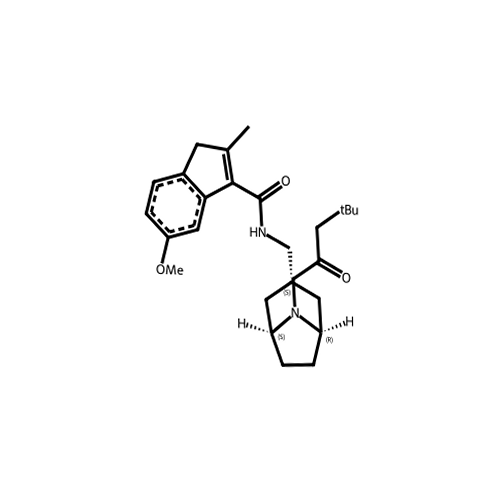 COc1ccc2c(c1)C(C(=O)NC[C@@H]1C[C@H]3CC[C@@H](C1)N3CC(=O)CC(C)(C)C)=C(C)C2